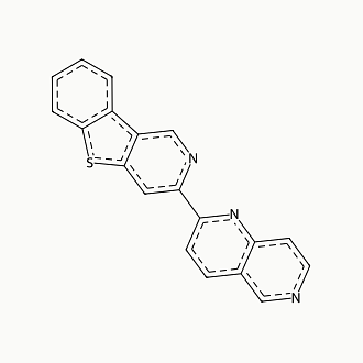 c1ccc2c(c1)sc1cc(-c3ccc4cnccc4n3)ncc12